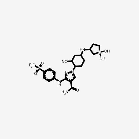 N#CC1CC(NC2CCS(O)(O)C2)CCC1n1cc(C(N)=O)c(Nc2ccc(S(=O)(=O)C(F)(F)F)cc2)n1